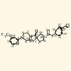 CC(C)[C@]1(C(=O)N2CCN(c3cc(C(F)(F)F)ccn3)CC2)CC[C@@H](NCc2ccc(Cl)cc2)C1